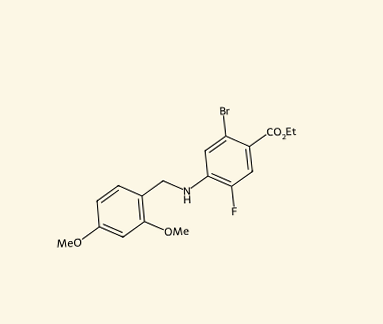 CCOC(=O)c1cc(F)c(NCc2ccc(OC)cc2OC)cc1Br